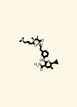 Cc1cc(C(N)=O)c(Nc2cccc(CCNC(=O)[C@H](C)N(C)C(=O)/C=C/CN(C)C)c2)nc1C1CC1